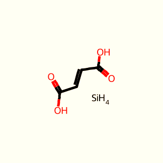 O=C(O)C=CC(=O)O.[SiH4]